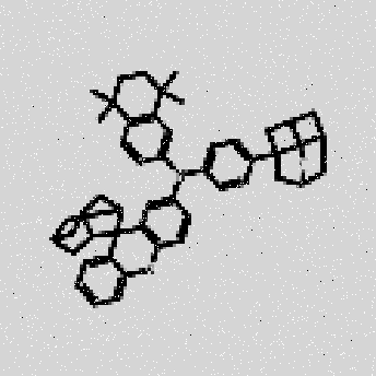 CC1(C)CCC(C)(C)c2cc(N(c3ccc(C45CC6CC7CC(C4)C75C6)cc3)c3ccc4c(c3)C3(c5ccccc5S4)C4CC5CC(C4)C3C5)ccc21